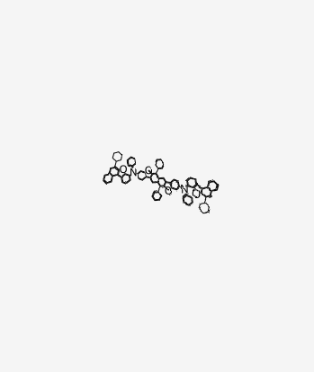 c1ccc(-c2c3cc4c(oc5cc(N(c6ccccc6)c6cccc7c6oc6c(C8CCCCC8)cc8ccccc8c67)ccc54)c(-c4ccccc4)c3cc3c2oc2cc(N(c4ccccc4)c4cccc5c4oc4c(C6CCCCC6)cc6ccccc6c45)ccc23)cc1